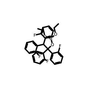 CCOB(OCC)OC(c1ccccc1F)(c1ccccc1F)C(c1ccccc1F)c1ccccc1F